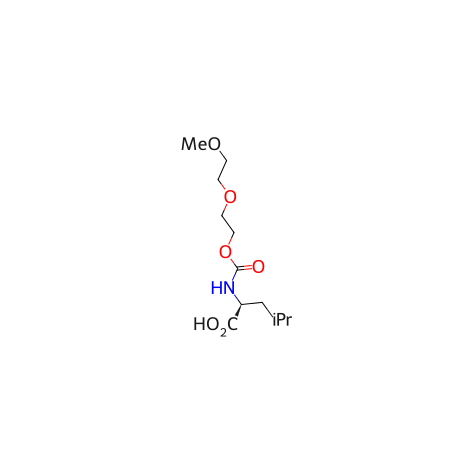 COCCOCCOC(=O)N[C@@H](CC(C)C)C(=O)O